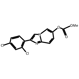 COC(=O)Oc1ccc2nc(-c3ccc(Cl)cc3Cl)cn2c1